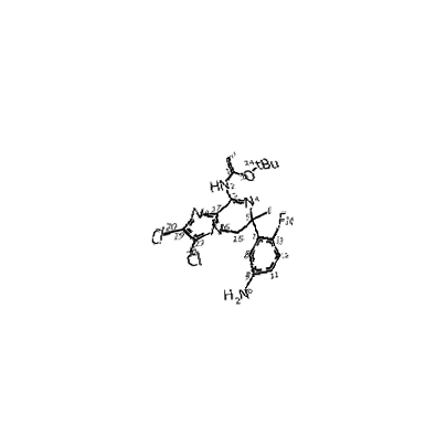 C=C(NC1=NC(C)(c2cc(N)ccc2F)Cn2c1nc(Cl)c2Cl)OC(C)(C)C